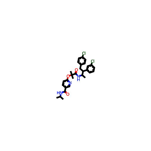 CC(C)NC(=O)c1ccc(OC(C)(C)C(=O)NC(C)C(Cc2ccc(Cl)cc2)c2cccc(Cl)c2)nc1